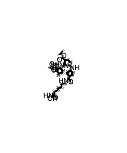 CC(C)OC(=O)c1cnc(Nc2ccc(C(=O)NCCCCCCC(=O)NO)cc2)nc1Nc1ccccc1N(C)S(C)(=O)=O